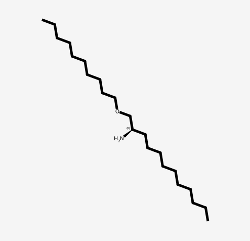 CCCCCCCCCCOC[C@H](N)CCCCCCCCCC